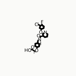 C[C@@H](Oc1ccc(CNC(=O)c2cccnc2Oc2ccc(F)c(Cl)c2)cc1)C(=O)O